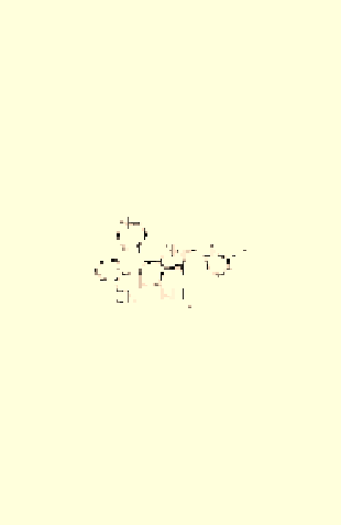 Cc1cccc(Cn2nc3c(N)nc(-c4ccccc4C#N)c(-c4ccncc4)c3n2)n1